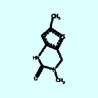 Cc1cc2c(s1)CN(C)C(=O)N2